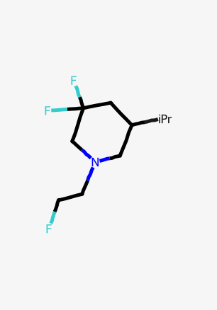 CC(C)C1CN(CCF)CC(F)(F)C1